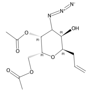 C=CC[C@H]1O[C@H](COC(C)=O)[C@H](OC(C)=O)C(N=[N+]=[N-])[C@H]1O